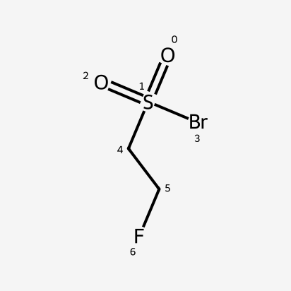 O=S(=O)(Br)CCF